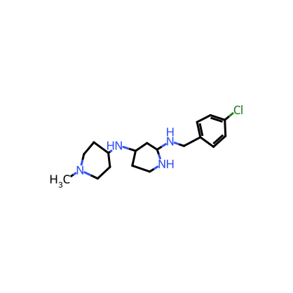 CN1CCC(NC2CCNC(NCc3ccc(Cl)cc3)C2)CC1